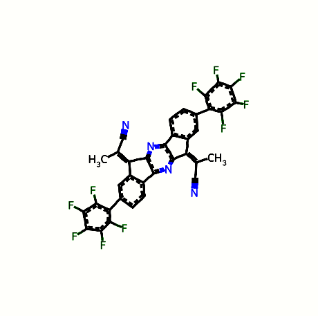 C/C(C#N)=C1\c2cc(-c3c(F)c(F)c(F)c(F)c3F)ccc2-c2nc3c(nc21)-c1ccc(-c2c(F)c(F)c(F)c(F)c2F)cc1/C3=C(\C)C#N